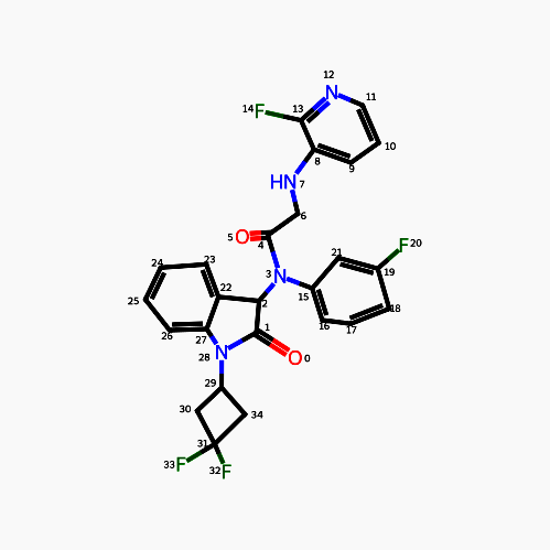 O=C1C(N(C(=O)CNc2cccnc2F)c2cccc(F)c2)c2ccccc2N1C1CC(F)(F)C1